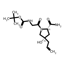 C=CC[C@]1(O)C[C@@H](C(N)=O)N(C(=O)CNC(=O)OC(C)(C)C)C1